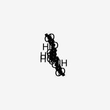 C=CCS(=O)(=O)c1ccc(C(=O)Nc2ccc(/C=C/c3ccc(NC(=O)c4ccc(S(=O)(=O)CC=C)cc4)cc3S(=O)(=O)O)c(S(=O)(=O)O)c2)cc1